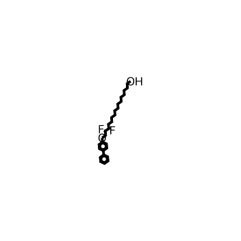 OCCCCCCCCCCCCCC(F)C(F)COc1ccc(-c2ccccc2)cc1